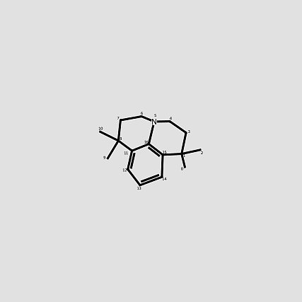 CC1(C)CCN2CCC(C)(C)c3cccc1c32